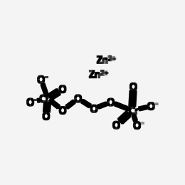 [O]=[Cr](=[O])([O-])([O-])[O]OO[O][Cr](=[O])(=[O])([O-])[O-].[Zn+2].[Zn+2]